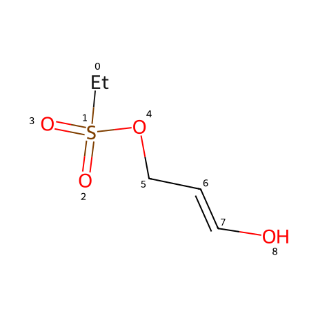 CCS(=O)(=O)OCC=CO